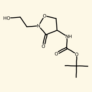 CC(C)(C)OC(=O)NC1CON(CCO)C1=O